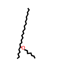 CCCCCCCCCCCCCCCCCC(CCCCC)OCCCCCCC